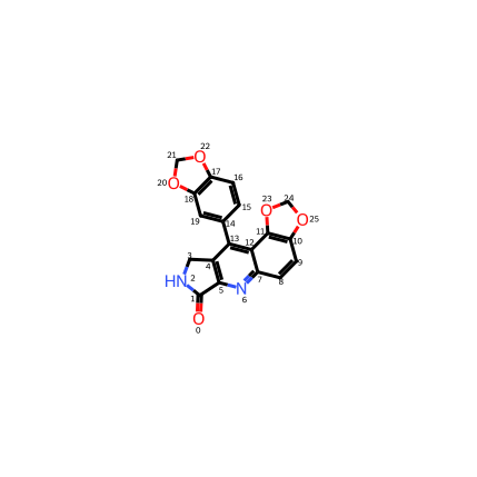 O=C1NCc2c1nc1ccc3c(c1c2-c1ccc2c(c1)OCO2)OCO3